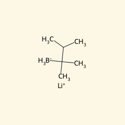 [BH3-]C(C)(C)C(C)C.[Li+]